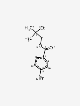 CCC(C)(C)COC(=O)c1ccc(C(C)C)cc1